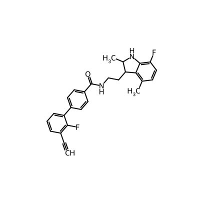 C#Cc1cccc(-c2ccc(C(=O)NCCC3c4c(C)ccc(F)c4NC3C)cc2)c1F